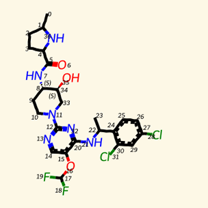 CC1CCC(C(=O)N[C@H]2CCN(c3ncc(OC(F)F)c(NC(C)c4ccc(Cl)cc4Cl)n3)C[C@@H]2O)N1